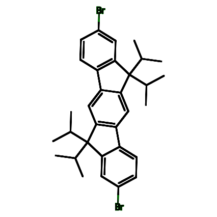 CC(C)C1(C(C)C)c2cc(Br)ccc2-c2cc3c(cc21)-c1ccc(Br)cc1C3(C(C)C)C(C)C